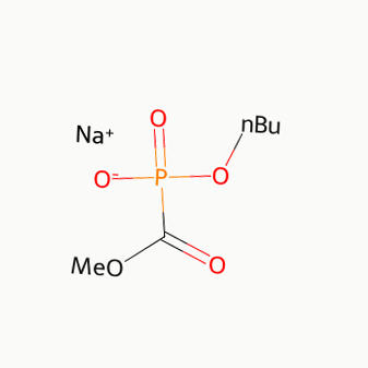 CCCCOP(=O)([O-])C(=O)OC.[Na+]